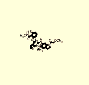 CNC(=O)c1c(F)cccc1Nc1nc(Nc2cc3c(cc2OC)CCN3C(=O)COC)[nH]c2nccc1-2